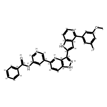 COc1cc(F)cc(-c2nccc3[nH]c(-c4n[nH]c5ccc(-c6cncc(NC(=O)c7ccccc7)c6)nc45)cc23)c1